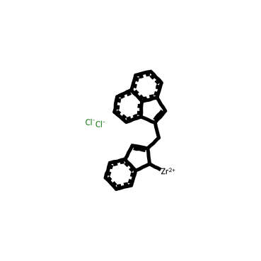 [Cl-].[Cl-].[Zr+2][CH]1C(CC2=Cc3cccc4cccc2c34)=Cc2ccccc21